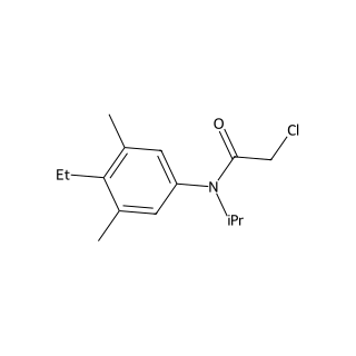 CCc1c(C)cc(N(C(=O)CCl)C(C)C)cc1C